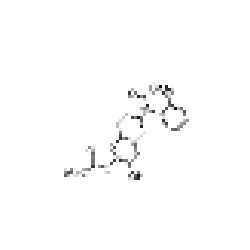 COC(=O)OC1=C(O)C=C2CN([C@H](C(=O)OC)c3ccccc3Cl)CCC2S1